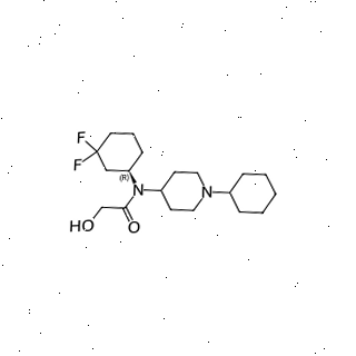 O=C(CO)N(C1CCN(C2CCCCC2)CC1)[C@@H]1CCCC(F)(F)C1